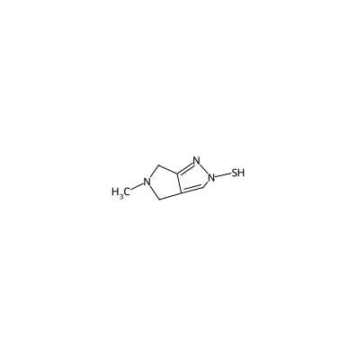 CN1Cc2cn(S)nc2C1